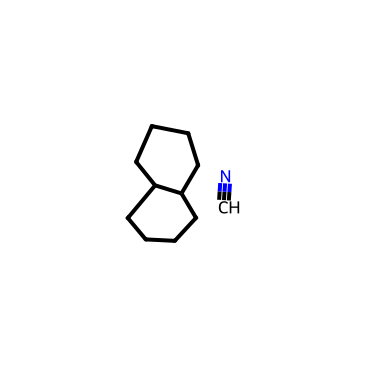 C#N.C1CCC2CCCCC2C1